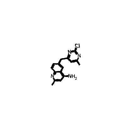 Cc1cc(Cc2ccc3nc(C)cc(N)c3c2)nc(Cl)n1